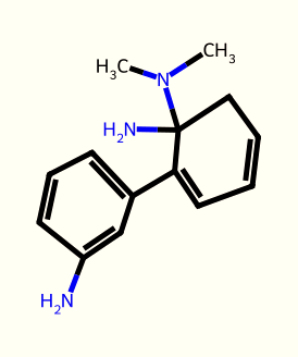 CN(C)C1(N)CC=CC=C1c1cccc(N)c1